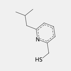 CC(C)Cc1cccc(CS)n1